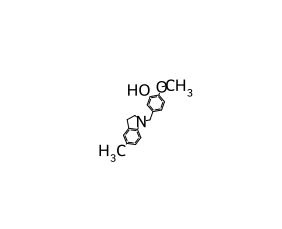 COc1ccc(CN2CCc3cc(C)ccc32)cc1O